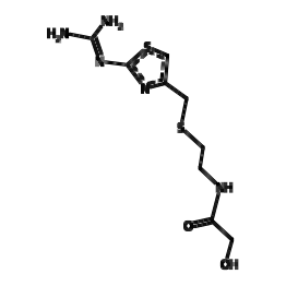 NC(N)=Nc1nc(CSCCNC(=O)CO)cs1